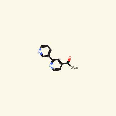 COC(=O)c1ccnc(-c2cccnc2)c1